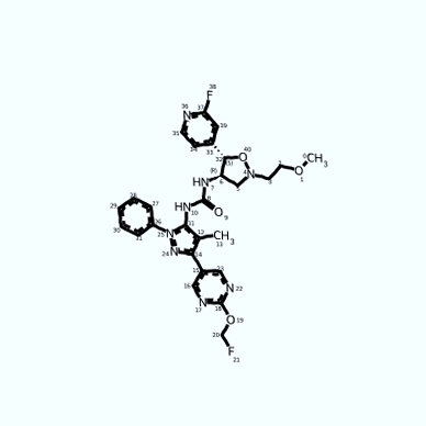 COCCN1C[C@@H](NC(=O)Nc2c(C)c(-c3cnc(OCF)nc3)nn2-c2ccccc2)[C@H](c2ccnc(F)c2)O1